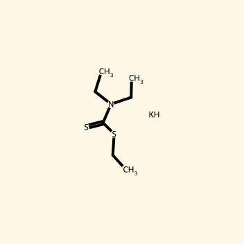 CCSC(=S)N(CC)CC.[KH]